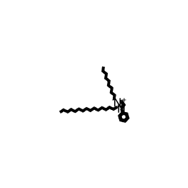 CCCCCCCCCCCCCCCc1n(-c2ccccc2)cc[n+]1CCCCCCCCCC